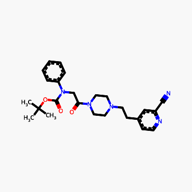 CC(C)(C)OC(=O)N(CC(=O)N1CCN(CCc2ccnc(C#N)c2)CC1)c1ccccc1